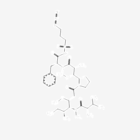 CC[C@H](C)[C@@H]([C@@H](CC(=O)N1CCC[C@H]1[C@H](OC)[C@@H](C)C(=O)N[C@@H](Cc1ccccc1)C(=O)NS(=O)(=O)CCCN=[N+]=[N-])OC)N(C)C(=O)[C@@H](N)C(C)C